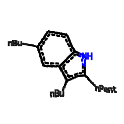 CCCCCc1[nH]c2ccc(CCCC)cc2c1CCCC